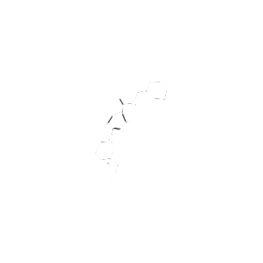 CCCSc1nc(N2CCC[C@H](CC(=O)O)C2)ccc1C(=O)NCC1CCCCC1